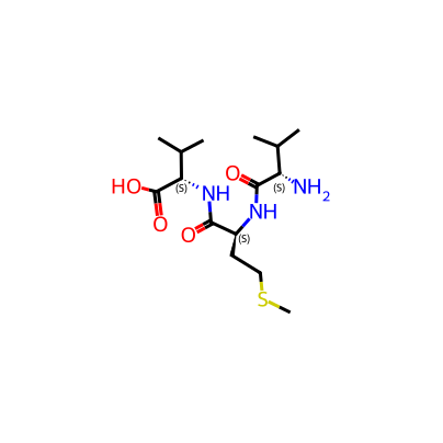 CSCC[C@H](NC(=O)[C@@H](N)C(C)C)C(=O)N[C@H](C(=O)O)C(C)C